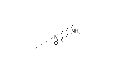 CCCCCCCCN(CCCCCCCC)C(=O)C(C)=CCCCN